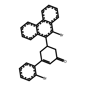 O=C1C=C(c2ccccc2Br)CC(c2c(Br)c3ccccc3c3ccccc23)C1